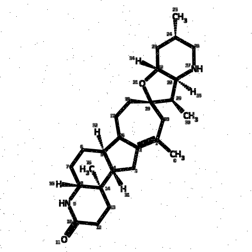 CC1=C2C[C@H]3[C@@H](CC[C@H]4NC(=O)CC[C@@]43C)C2CC[C@@]2(C1)O[C@@H]1C[C@H](C)CN[C@H]1[C@H]2C